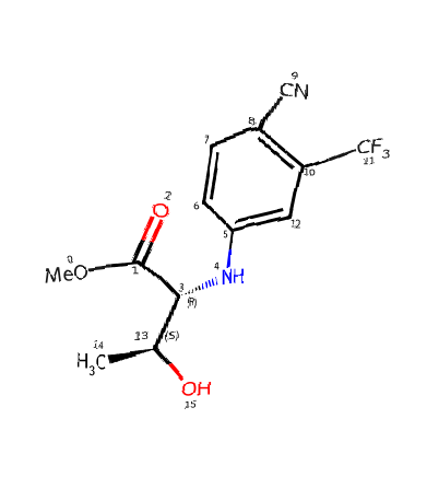 COC(=O)[C@H](Nc1ccc(C#N)c(C(F)(F)F)c1)[C@H](C)O